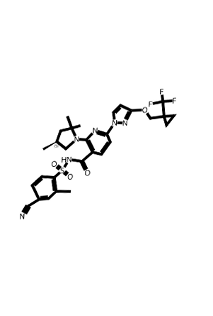 Cc1cc(C#N)ccc1S(=O)(=O)NC(=O)c1ccc(-n2ccc(OCC3(C(F)(F)F)CC3)n2)nc1N1C[C@@H](C)CC1(C)C